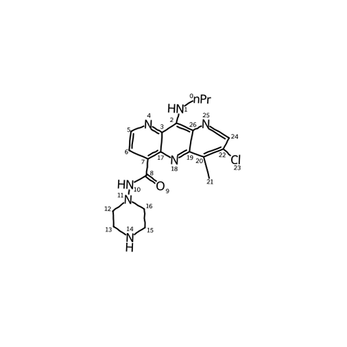 CCCNc1c2nccc(C(=O)NN3CCNCC3)c2nc2c(C)c(Cl)cnc12